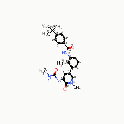 CNC(=O)Nc1cc(-c2cccc(NC(=O)c3ccc(C(C)(C)C)cc3)c2C)cn(C)c1=O